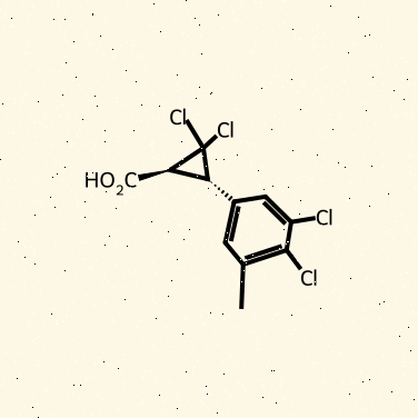 Cc1cc([C@@H]2[C@@H](C(=O)O)C2(Cl)Cl)cc(Cl)c1Cl